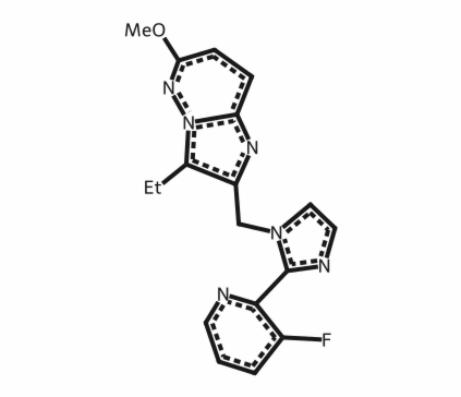 CCc1c(Cn2ccnc2-c2ncccc2F)nc2ccc(OC)nn12